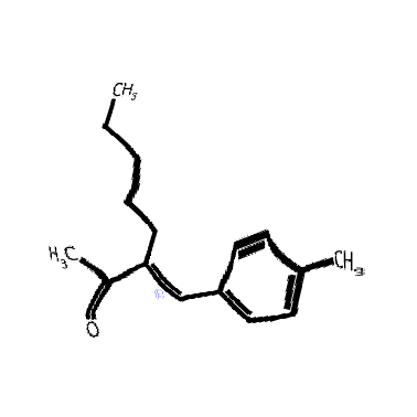 CCCCC/C(=C\c1ccc(C)cc1)C(C)=O